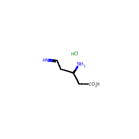 Cl.N=CCC(N)CC(=O)O